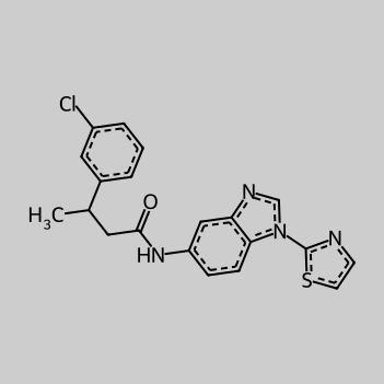 CC(CC(=O)Nc1ccc2c(c1)ncn2-c1nccs1)c1cccc(Cl)c1